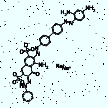 Nc1ccc(N=Nc2ccc(-c3ccc(N=Nc4c(S(=O)(=O)[O-])cc5c(c4N)C(=O)C(=NNc4ccccc4)C(S(=O)(=O)[O-])=C5)cc3)cc2)c(N)c1.[Na+].[Na+]